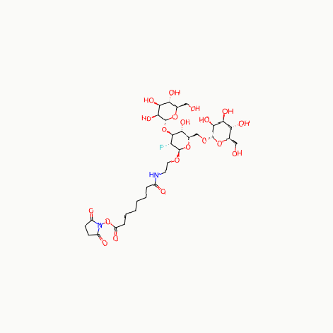 O=C(CCCCCCC(=O)ON1C(=O)CCC1=O)NCCO[C@@H]1O[C@H](CO[C@H]2O[C@H](CO)[C@@H](O)[C@H](O)[C@@H]2O)[C@@H](O)[C@H](O[C@H]2O[C@H](CO)[C@@H](O)[C@H](O)[C@@H]2O)[C@H]1F